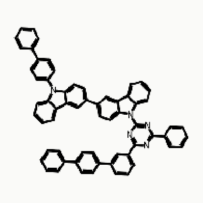 c1ccc(-c2ccc(-c3cccc(-c4nc(-c5ccccc5)nc(-n5c6ccccc6c6cc(-c7ccc8c(c7)c7ccccc7n8-c7ccc(-c8ccccc8)cc7)ccc65)n4)c3)cc2)cc1